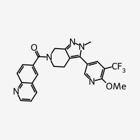 COc1ncc(-c2c3c(nn2C)CN(C(=O)c2ccc4ncccc4c2)CC3)cc1C(F)(F)F